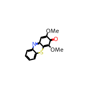 COc1cc2nc3ccccc3sc-2c(OC)c1=O